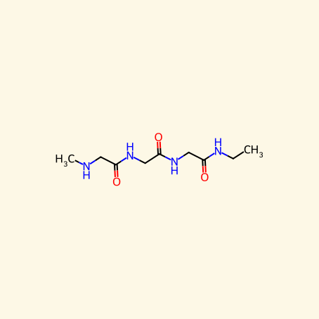 CCNC(=O)CNC(=O)CNC(=O)CNC